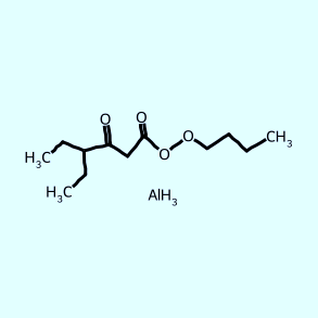 CCCCOOC(=O)CC(=O)C(CC)CC.[AlH3]